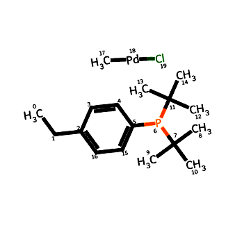 CCc1ccc(P(C(C)(C)C)C(C)(C)C)cc1.[CH3][Pd][Cl]